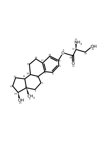 C[C@]12CCC3c4ccc(OC(=O)[C@@H](N)CO)cc4CCC3C1CC[C@@H]2O